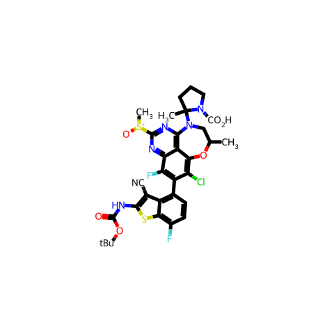 CC1CN(C2(C)CCCN2C(=O)O)c2nc([S+](C)[O-])nc3c(F)c(-c4ccc(F)c5sc(NC(=O)OC(C)(C)C)c(C#N)c45)c(Cl)c(c23)O1